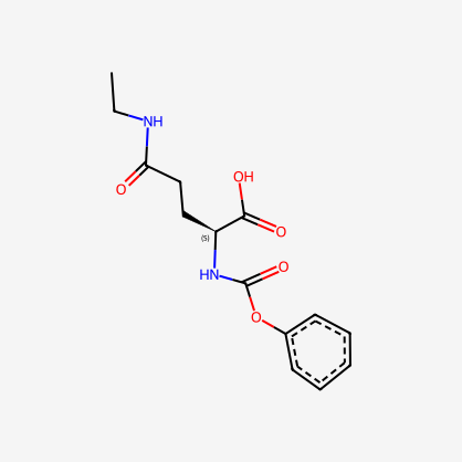 CCNC(=O)CC[C@H](NC(=O)Oc1ccccc1)C(=O)O